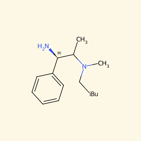 CCC(C)CN(C)C(C)[C@H](N)c1ccccc1